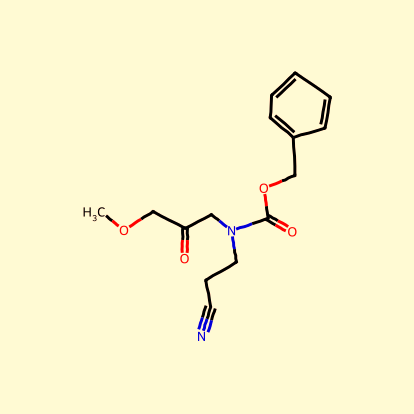 COCC(=O)CN(CCC#N)C(=O)OCc1ccccc1